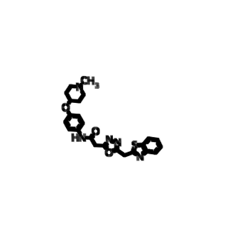 CN1CCC(Oc2ccc(NC(=O)Cc3nnc(Cc4nc5ccccc5s4)o3)cc2)CC1